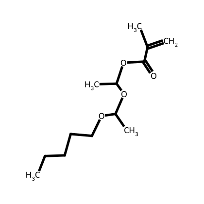 C=C(C)C(=O)OC(C)OC(C)OCCCCC